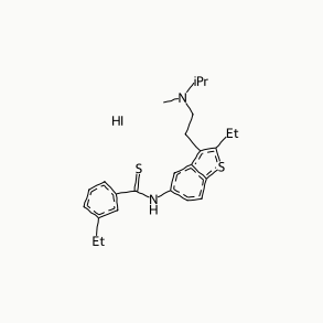 CCc1cccc(C(=S)Nc2ccc3sc(CC)c(CCN(C)C(C)C)c3c2)c1.I